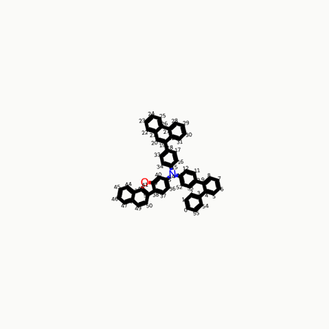 c1ccc(-c2ccccc2-c2ccc(N(c3ccc(-c4cc5ccccc5c5ccccc45)cc3)c3ccc4c(c3)oc3c5ccccc5ccc43)cc2)cc1